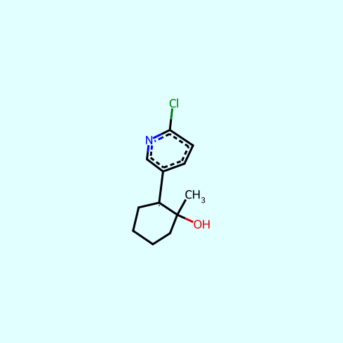 CC1(O)CCCC[C]1c1ccc(Cl)nc1